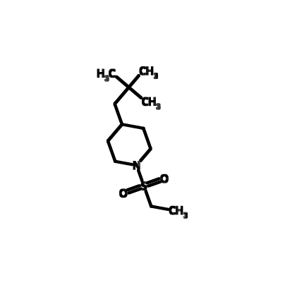 CCS(=O)(=O)N1CCC(CC(C)(C)C)CC1